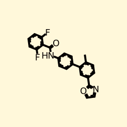 Cc1ccc(-c2ncco2)cc1-c1ccc(NC(=O)c2c(F)cccc2F)cc1